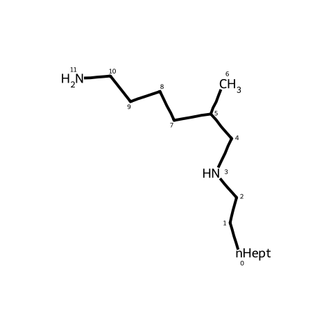 CCCCCCCCCNCC(C)CCCCN